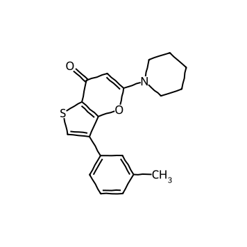 Cc1cccc(-c2csc3c(=O)cc(N4CCCCC4)oc23)c1